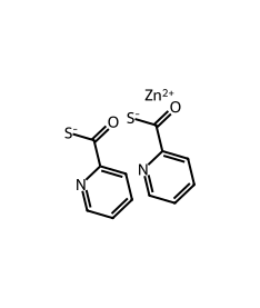 O=C([S-])c1ccccn1.O=C([S-])c1ccccn1.[Zn+2]